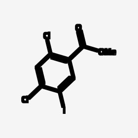 COC(=O)c1cc(I)c(Cl)cc1Cl